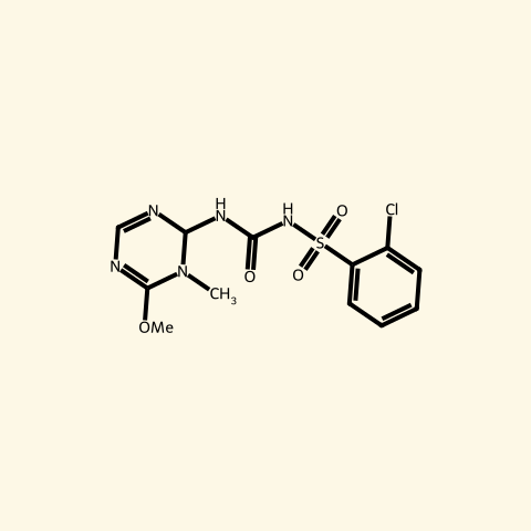 COC1=NC=NC(NC(=O)NS(=O)(=O)c2ccccc2Cl)N1C